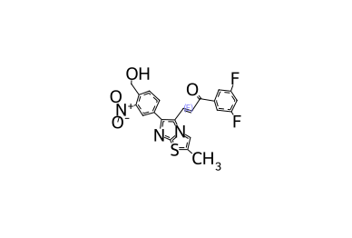 Cc1cn2c(/C=C/C(=O)c3cc(F)cc(F)c3)c(-c3ccc(CO)c([N+](=O)[O-])c3)nc2s1